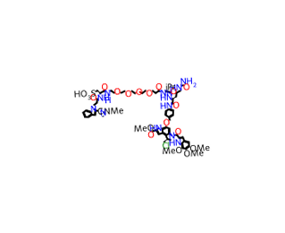 CNN(C)Cc1cc2ccccc2n1CCC(=O)N[C@@H](CS(=O)(=O)O)C(=O)NCCOCCOCCOCCOCCC(=O)NC(C(=O)N[C@@H](CCCNC(N)=O)C(=O)Nc1ccc(COc2cc3c(c4cc(C(=O)OC)[nH]c24)[C@H](CCl)CN3C(=O)c2cc3cc(OC)c(OC)c(OC)c3[nH]2)cc1)C(C)C